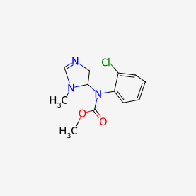 COC(=O)N(c1ccccc1Cl)C1CN=CN1C